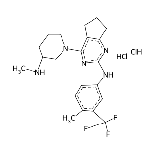 CNC1CCCN(c2nc(Nc3ccc(C)c(C(F)(F)F)c3)nc3c2CCC3)C1.Cl.Cl